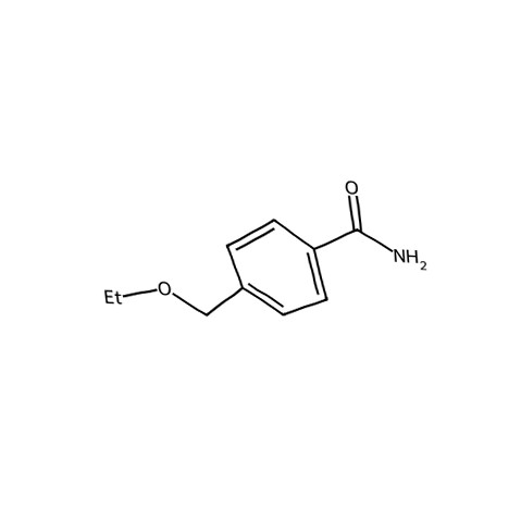 CCOCc1ccc(C(N)=O)cc1